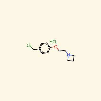 Cl.ClCc1ccc(OCCN2CCC2)cc1